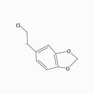 ClC[CH]c1ccc2c(c1)OCO2